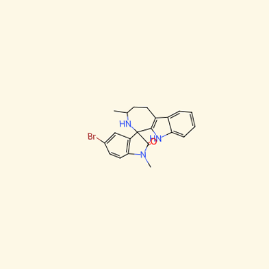 CC1CCc2c([nH]c3ccccc23)C2(N1)C(=O)N(C)c1ccc(Br)cc12